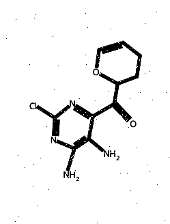 Nc1nc(Cl)nc(C(=O)C2CCC=CO2)c1N